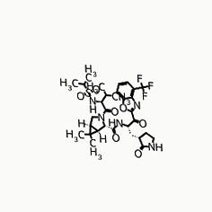 CC(C)[C@H](NS(=O)(=O)C(C)C)C(=O)N1C[C@H]2[C@@H]([C@H]1C(=O)N[C@@H](C[C@@H]1CCNC1=O)C(=O)c1nc3c(C(F)(F)F)cccc3o1)C2(C)C